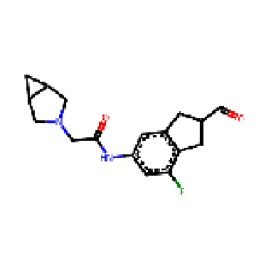 O=CC1Cc2cc(NC(=O)CN3CC4CC4C3)cc(F)c2C1